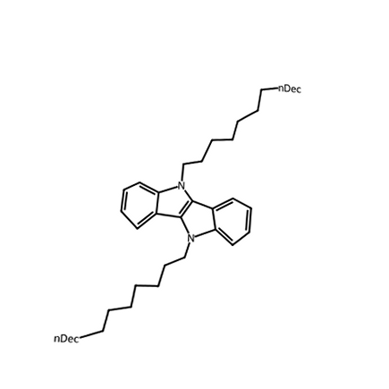 CCCCCCCCCCCCCCCCCn1c2ccccc2c2c1c1ccccc1n2CCCCCCCCCCCCCCCCC